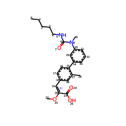 CCCCCNC(=O)N(C)c1cccc(-c2ccc(/C=C(/OC)C(=O)O)cc2C)c1